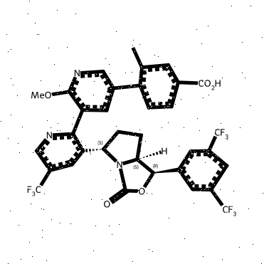 COc1ncc(-c2ccc(C(=O)O)cc2C)cc1-c1ncc(C(F)(F)F)cc1[C@@H]1CC[C@H]2[C@@H](c3cc(C(F)(F)F)cc(C(F)(F)F)c3)OC(=O)N12